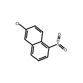 O=[SH](=O)c1cccc2cc(Cl)ccc12